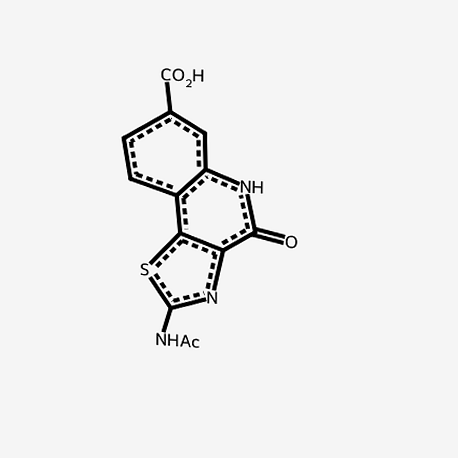 CC(=O)Nc1nc2c(=O)[nH]c3cc(C(=O)O)ccc3c2s1